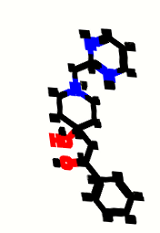 O=C(CC1(O)CCN(Cc2ncccn2)CC1)c1ccccc1